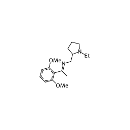 CCN1CCCC1CN=C(C)c1c(OC)cccc1OC